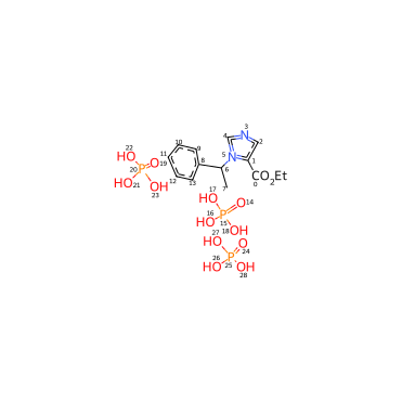 CCOC(=O)c1cncn1C(C)c1ccccc1.O=P(O)(O)O.O=P(O)(O)O.O=P(O)(O)O